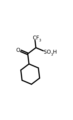 O=C(C1CCCCC1)C(C(F)(F)F)S(=O)(=O)O